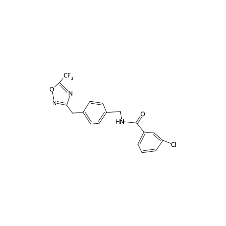 O=C(NCc1ccc(Cc2noc(C(F)(F)F)n2)cc1)c1cccc(Cl)c1